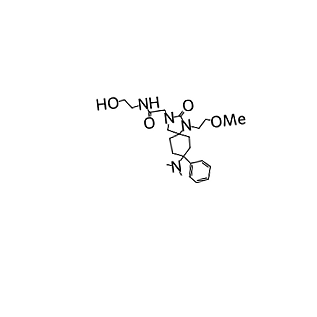 COCCN1C(=O)N(CC(=O)NCCO)CC12CCC(c1ccccc1)(N(C)C)CC2